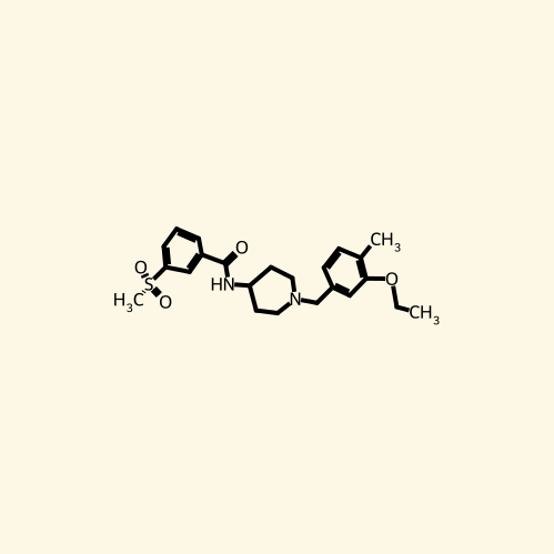 CCOc1cc(CN2CCC(NC(=O)c3cccc(S(C)(=O)=O)c3)CC2)ccc1C